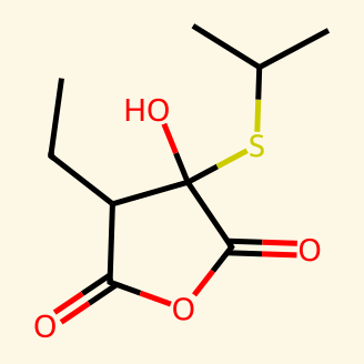 CCC1C(=O)OC(=O)C1(O)SC(C)C